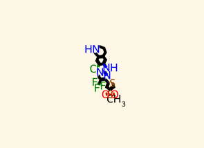 CS(=O)(=O)c1csc(-c2nc(Nc3cc4c(cc3Cl)CNCCC4)ncc2C(F)(F)F)c1